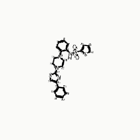 O=S(=O)(Nc1ccccc1N1CCN(c2nc(-c3ccccc3)cs2)CC1)c1cccs1